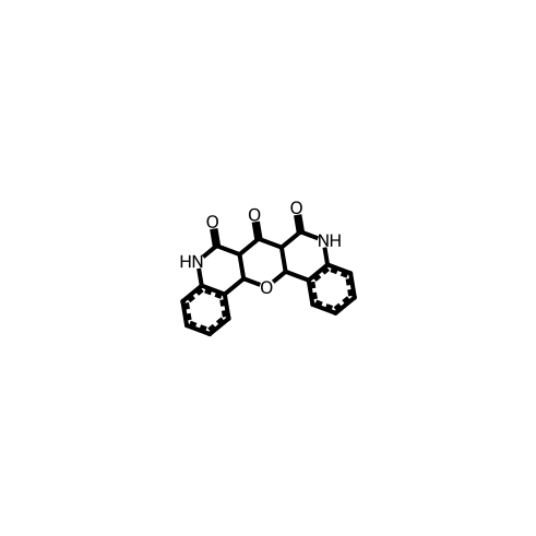 O=C1Nc2ccccc2C2OC3c4ccccc4NC(=O)C3C(=O)C12